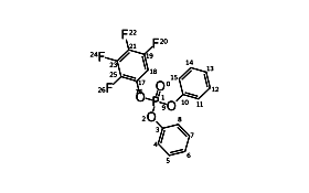 O=P(Oc1ccccc1)(Oc1ccccc1)Oc1cc(F)c(F)c(F)c1F